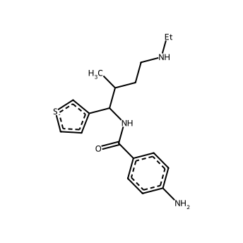 CCNCCC(C)C(NC(=O)c1ccc(N)cc1)c1ccsc1